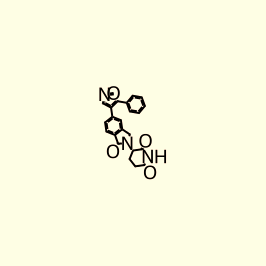 O=C1CCC(N2Cc3cc(-c4cnoc4-c4ccccc4)ccc3C2=O)C(=O)N1